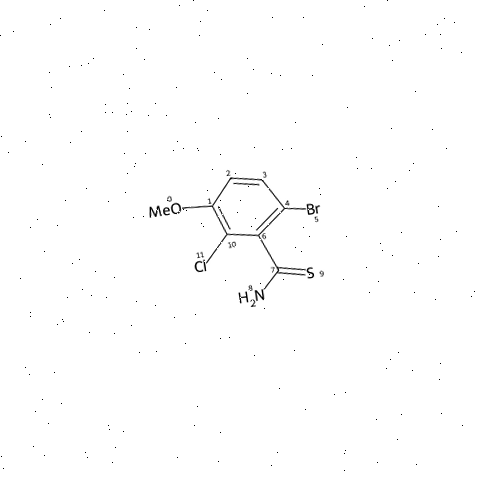 COc1ccc(Br)c(C(N)=S)c1Cl